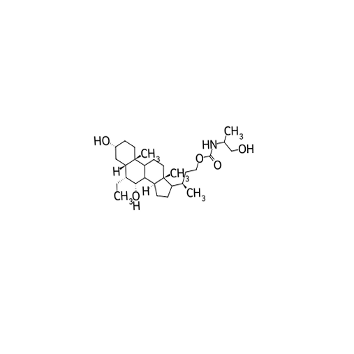 CC[C@H]1[C@@H](O)C2C(CC[C@]3(C)C([C@H](C)CCOC(=O)NC(C)CO)CC[C@@H]23)[C@@]2(C)CC[C@@H](O)C[C@@H]12